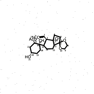 C=C[C@H]1C2CCC3(OCCO3)[C@@]2(C)CCC1[C@@]1(C)CC[C@H](O)C[C@@H]1OC(C)=O